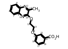 Cc1nc2ccccc2nc1OCCOc1cccc(C(=O)O)c1